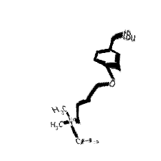 CC(C)(C)Cc1ccc(OCCCC[N+](C)(C)C)cc1